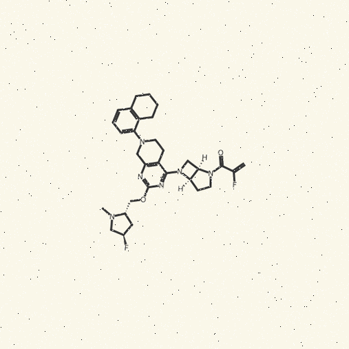 C=C(F)C(=O)N1CC[C@@H]2[C@H]1CN2c1nc(OC[C@@H]2C[C@@H](F)CN2C)nc2c1CCN(c1cccc3c1CCCC3)C2